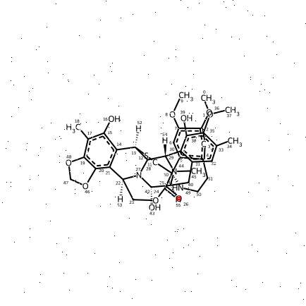 COc1cc2c(cc1OC)[C@@]1(CS[C@@H]3c4c(O)c(C)c5c(c4[C@H](COC1=O)N1C3[C@@H]3c4c(cc(C)c(OC)c4O)C[C@@H]([C@@H]1O)N3C)OCO5)NCC2